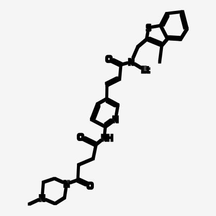 CCN(Cc1sc2ccccc2c1C)C(=O)C=Cc1ccc(NC(=O)CCC(=O)N2CCN(C)CC2)nc1